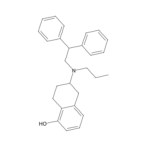 CCCN(CC(c1ccccc1)c1ccccc1)C1CCc2c(O)cccc2C1